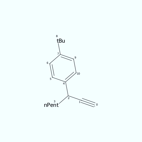 [C]#CC(CCCCC)c1ccc(C(C)(C)C)cc1